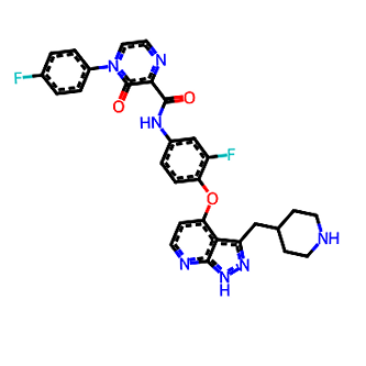 O=C(Nc1ccc(Oc2ccnc3[nH]nc(CC4CCNCC4)c23)c(F)c1)c1nccn(-c2ccc(F)cc2)c1=O